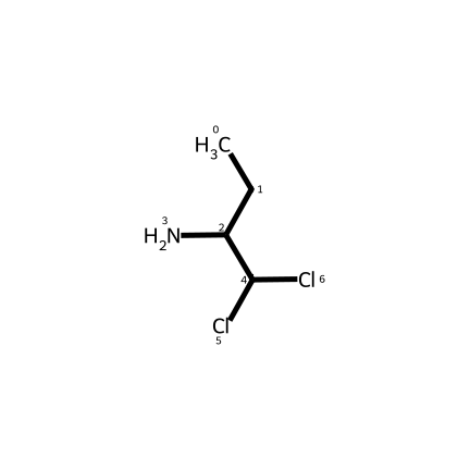 CCC(N)[C](Cl)Cl